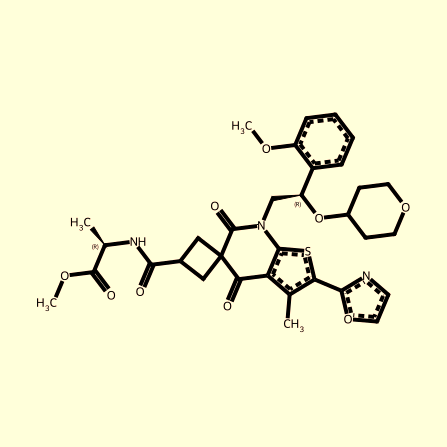 COC(=O)[C@@H](C)NC(=O)C1CC2(C1)C(=O)c1c(sc(-c3ncco3)c1C)N(C[C@H](OC1CCOCC1)c1ccccc1OC)C2=O